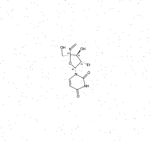 C=N[C@]1(CO)O[C@@H](n2ccc(=O)[nH]c2=O)[C@@H](CC)[C@@H]1O